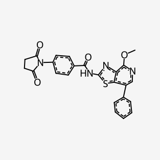 COc1ncc(-c2ccccc2)c2sc(NC(=O)c3ccc(N4C(=O)CCC4=O)cc3)nc12